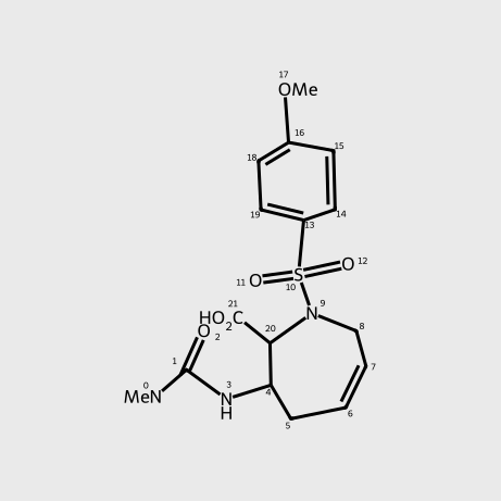 CNC(=O)NC1CC=CCN(S(=O)(=O)c2ccc(OC)cc2)C1C(=O)O